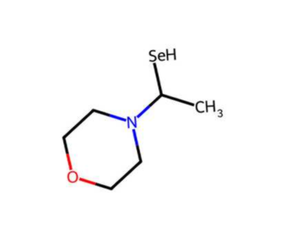 CC([SeH])N1CCOCC1